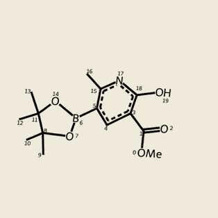 COC(=O)c1cc(B2OC(C)(C)C(C)(C)O2)c(C)nc1O